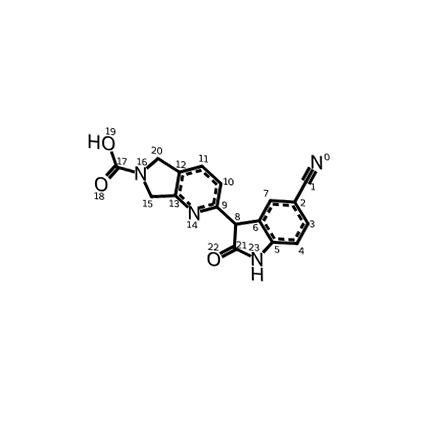 N#Cc1ccc2c(c1)C(c1ccc3c(n1)CN(C(=O)O)C3)C(=O)N2